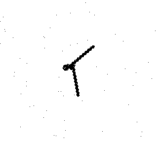 CCCCCCCCCCCCCCCCCc1cc(CCCCCCCCCCCCCCCCC)c[n+](-c2ccccc2)c1